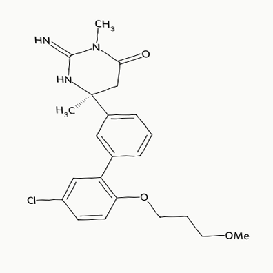 COCCCOc1ccc(Cl)cc1-c1cccc([C@]2(C)CC(=O)N(C)C(=N)N2)c1